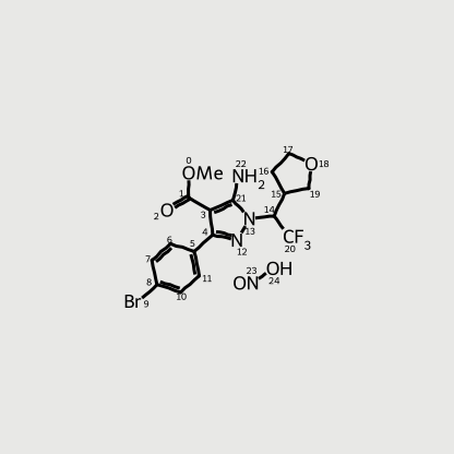 COC(=O)c1c(-c2ccc(Br)cc2)nn(C(C2CCOC2)C(F)(F)F)c1N.O=NO